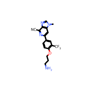 Cn1cnc2c(C#N)nc(-c3ccc(OCCCN)c(C(F)(F)F)c3)cc21